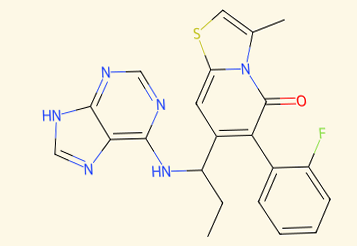 CCC(Nc1ncnc2[nH]cnc12)c1cc2scc(C)n2c(=O)c1-c1ccccc1F